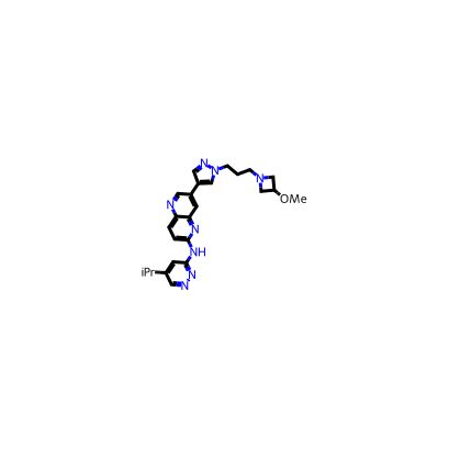 COC1CN(CCCn2cc(-c3cnc4ccc(Nc5cc(C(C)C)cnn5)nc4c3)cn2)C1